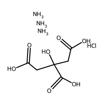 Cl.N.N.N.O=C(O)CC(O)(CC(=O)O)C(=O)O